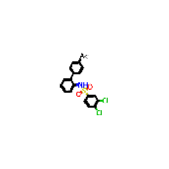 CC(=O)c1ccc(-c2ccccc2NS(=O)(=O)c2ccc(Cl)c(Cl)c2)cc1